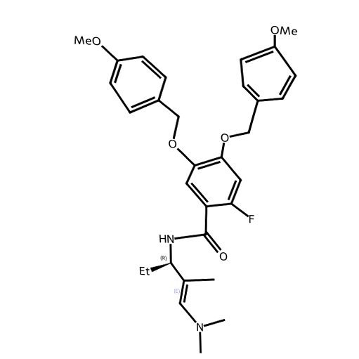 CC[C@@H](NC(=O)c1cc(OCc2ccc(OC)cc2)c(OCc2ccc(OC)cc2)cc1F)/C(C)=C/N(C)C